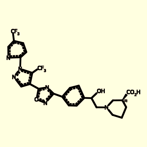 O=C(O)[C@H]1CCCN(CC(O)c2ccc(-c3noc(-c4cnn(-c5ccc(C(F)(F)F)cn5)c4C(F)(F)F)n3)cc2)C1